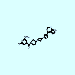 COc1cc(C(=O)N2CCC(N3CC(n4cc(-c5ncnc6[nH]ccc56)cn4)C3)CC2)cc(Cl)n1